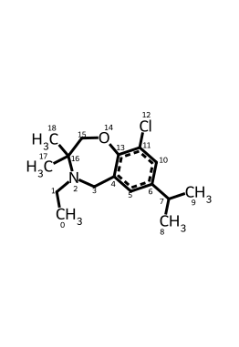 CCN1Cc2cc(C(C)C)cc(Cl)c2OCC1(C)C